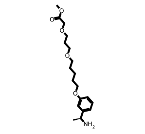 COC(=O)COCCCOCCCCCOc1cccc([C@H](C)N)c1